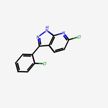 Clc1ccc2c(-c3ccccc3Cl)n[nH]c2n1